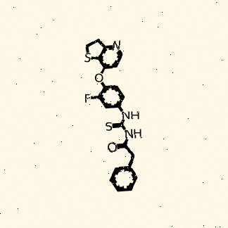 O=C(Cc1ccccc1)NC(=S)Nc1ccc(Oc2ccnc3c2SCC3)c(F)c1